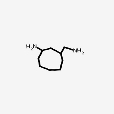 NCC1CCCCCC(N)C1